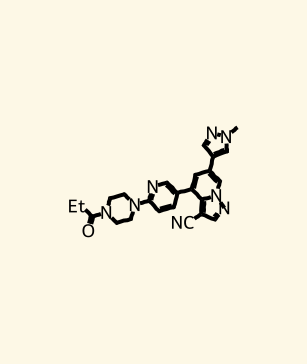 CCC(=O)N1CCN(c2ccc(-c3cc(-c4cnn(C)c4)cn4ncc(C#N)c34)cn2)CC1